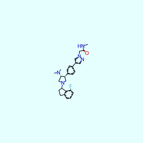 CNC(=O)Cn1cc(-c2ccc([C@H]3CN(C4CCc5cccc(F)c54)C[C@@H]3N(C)C)cc2)cn1